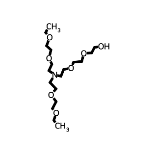 CCOCCOCCN(CCOCCOCC)CCOCCOCCO